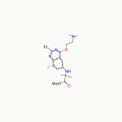 CCc1nc(OCCN(C)C)c2cc(NC(C)(C)C(=O)OC)cc(F)c2n1